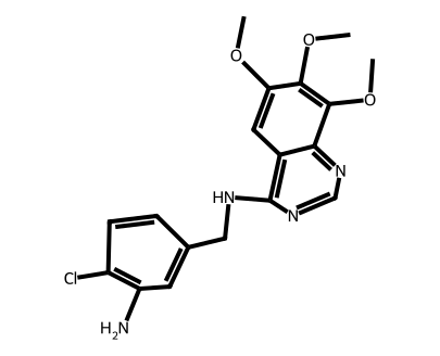 COc1cc2c(NCc3ccc(Cl)c(N)c3)ncnc2c(OC)c1OC